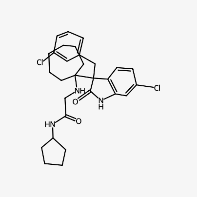 O=C(CNC1(C2(Cc3cccc(Cl)c3)C(=O)Nc3cc(Cl)ccc32)CCCCCC1)NC1CCCC1